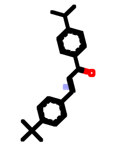 CC(C)c1ccc(C(=O)/C=C/c2ccc(C(C)(C)C)cc2)cc1